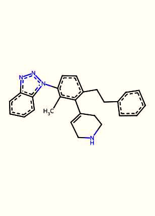 Cc1c(-n2nnc3ccccc32)ccc(CCc2ccccc2)c1C1=CCNCC1